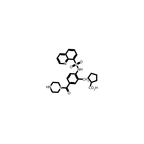 Cc1cc(C(=O)N2CCNCC2)ccc1NS(=O)(=O)c1cccc2cccnc12.O=C(O)C1CCCC1